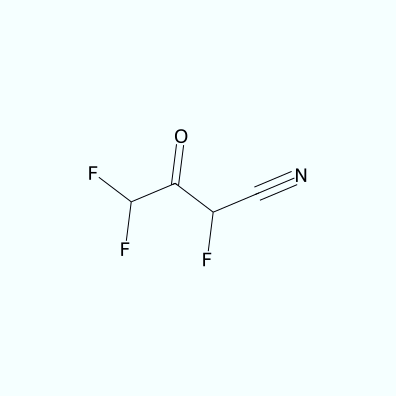 N#CC(F)C(=O)C(F)F